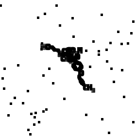 CC#CCOc1ccc(S(=O)(=O)N[C@](C(=O)O)(C(C)(C)C)C(C)(C)SCCCO)cc1